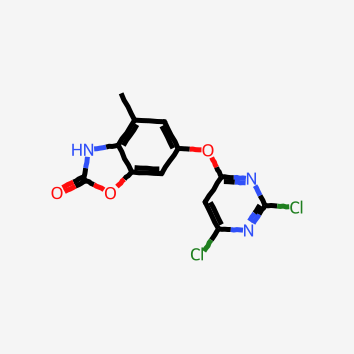 Cc1cc(Oc2cc(Cl)nc(Cl)n2)cc2oc(=O)[nH]c12